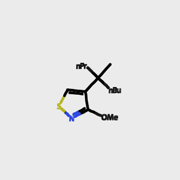 CCCCC(C)(CCC)c1csnc1OC